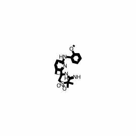 COc1ccccc1Nc1ccc2c(n1)[C@]1(C2)CS(=O)(=O)C(C)(C)C(=N)N1